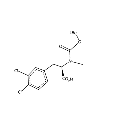 CN(C(=O)OC(C)(C)C)[C@H](Cc1ccc(Cl)c(Cl)c1)C(=O)O